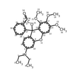 CCN(CC)c1ccc2c(c1)Oc1cc(OC)c(OC)c(OC)c1C2(OC)c1ccccc1C=O